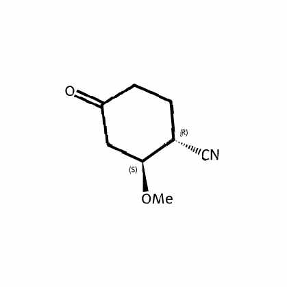 CO[C@H]1CC(=O)CC[C@@H]1C#N